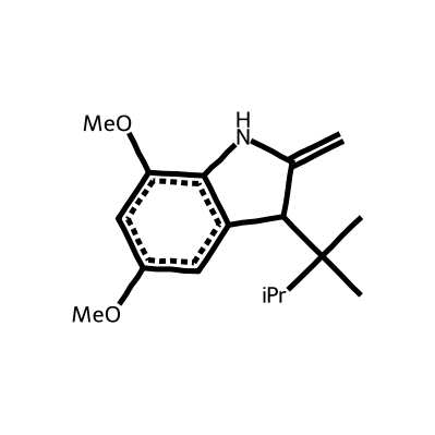 C=C1Nc2c(OC)cc(OC)cc2C1C(C)(C)C(C)C